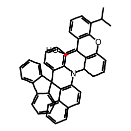 CC(C)c1cccc2c1OC1=C(/C2=C/O)C(N2c3ccccc3C3(c4ccccc4-c4ccccc43)c3c2ccc2ccccc32)CC=C1